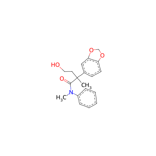 CN(C(=O)C(C)(CCO)c1ccc2c(c1)OCO2)c1ccccc1